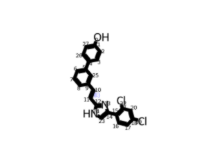 Oc1ccc(-c2cccc(/C=C/c3nc(-c4ccc(Cl)cc4Cl)c[nH]3)c2)cc1